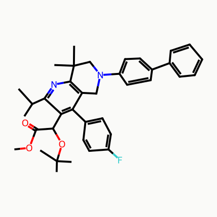 COC(=O)C(OC(C)(C)C)c1c(C(C)C)nc2c(c1-c1ccc(F)cc1)CN(c1ccc(-c3ccccc3)cc1)CC2(C)C